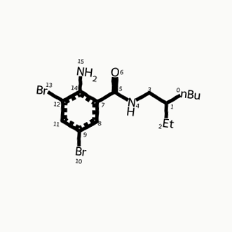 CCCCC(CC)CNC(=O)c1cc(Br)cc(Br)c1N